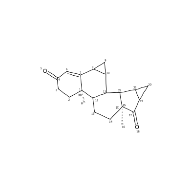 C[C@]12CCC(=O)C=C1C1CC1C1C2CC[C@]2(C)C(=O)C3CC3C12